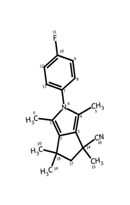 Cc1c2c(c(C)n1-c1ccc(F)cc1)C(C)(C#N)CC2(C)C